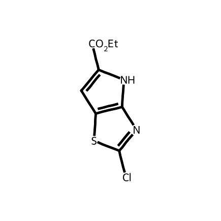 CCOC(=O)c1cc2sc(Cl)nc2[nH]1